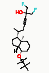 CC(CC#CC(O)(CF)CF)[C@H]1CC[C@H]2[C@@H](O[Si](C)(C)C(C)(C)C)CCC[C@]12C